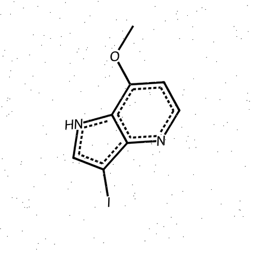 COc1ccnc2c(I)c[nH]c12